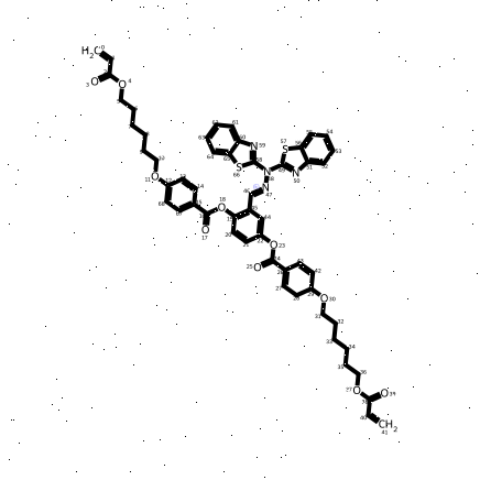 C=CC(=O)OCCCCCCOc1ccc(C(=O)Oc2ccc(OC(=O)C3=CCC(OCCCCCCOC(=O)C=C)C=C3)cc2/C=N/N(c2nc3ccccc3s2)c2nc3ccccc3s2)cc1